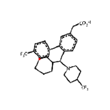 O=C(O)Cc1ccc(C(C2CCCCC2)N2CCC(C(F)(F)F)CC2)c(-c2ccc(C(F)(F)F)cc2)c1